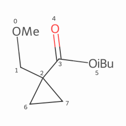 COCC1(C(=O)OCC(C)C)CC1